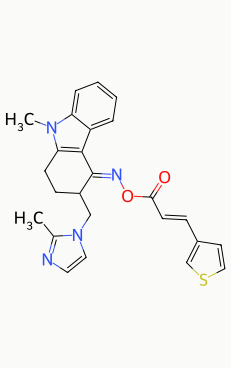 Cc1nccn1CC1CCc2c(c3ccccc3n2C)C1=NOC(=O)C=Cc1ccsc1